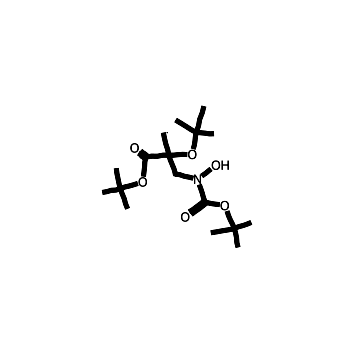 [CH2]C(CN(O)C(=O)OC(C)(C)C)(OC(C)(C)C)C(=O)OC(C)(C)C